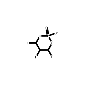 O=P1(Br)OC(F)C(F)C(F)O1